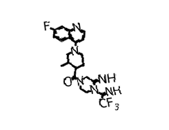 CC1CN(c2ccnc3cc(F)ccc23)CCC1C(=O)N1CCN(C(=N)C(F)(F)F)C(=N)C1